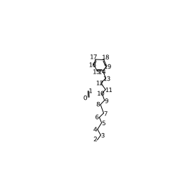 C=C.CCCCCCCCCCCCc1ccccc1